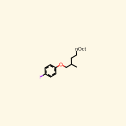 CCCCCCCCCCC(C)COc1ccc(I)cc1